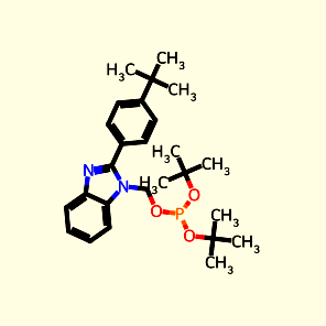 CC(C)(C)OP(OCn1c(-c2ccc(C(C)(C)C)cc2)nc2ccccc21)OC(C)(C)C